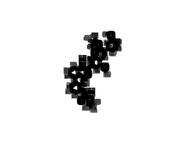 COc1cc(N(Cc2cnc(C(=O)Nc3cccc(-c4cccc(NC(=O)OC(C)(C)C)c4Cl)c3C)cc2OC)C(=O)OC(C)(C)C)ccn1